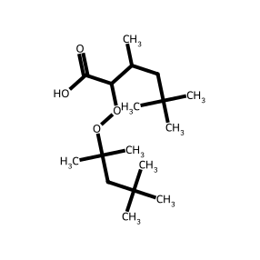 CC(CC(C)(C)C)C(OOC(C)(C)CC(C)(C)C)C(=O)O